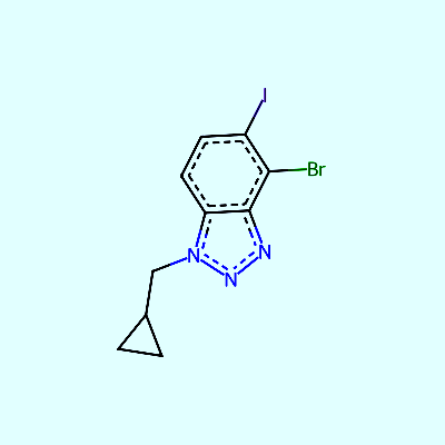 Brc1c(I)ccc2c1nnn2CC1CC1